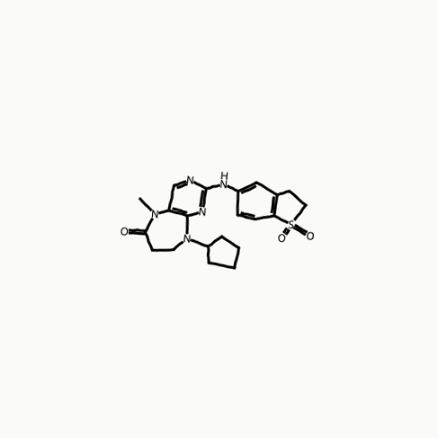 CN1C(=O)CCN(C2CCCC2)c2nc(Nc3ccc4c(c3)CCS4(=O)=O)ncc21